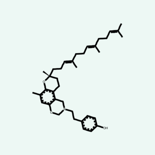 CC(C)=CCC/C(C)=C/CC/C(C)=C/CC[C@]1(C)CCc2c3c(cc(C)c2O1)OCN(CCc1ccc(O)cc1)C3